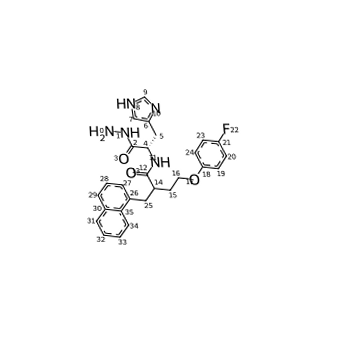 NNC(=O)[C@H](Cc1c[nH]cn1)NC(=O)C(CCOc1ccc(F)cc1)Cc1cccc2ccccc12